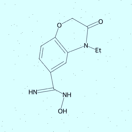 CCN1C(=O)COc2ccc(C(=N)NO)cc21